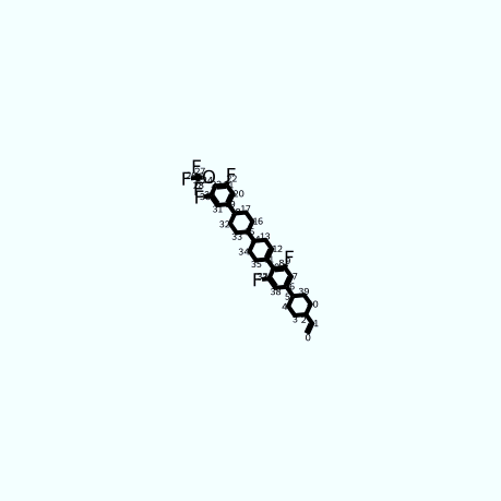 C=CC1CCC(c2cc(F)c(C3=CCC(C4CCC(c5cc(F)c(OC(F)(F)F)c(F)c5)CC4)CC3)c(F)c2)CC1